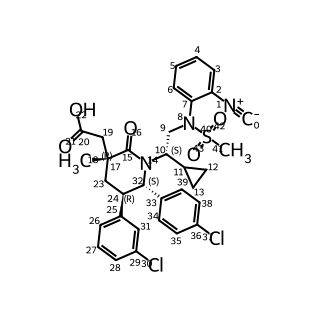 [C-]#[N+]c1ccccc1N(C[C@H](C1CC1)N1C(=O)[C@@](C)(CC(=O)O)C[C@H](c2cccc(Cl)c2)[C@H]1c1ccc(Cl)cc1)S(C)(=O)=O